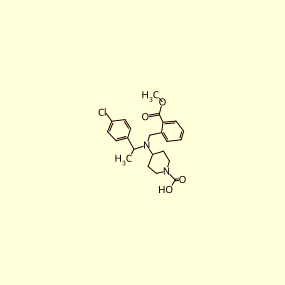 COC(=O)c1ccccc1CN(C1CCN(C(=O)O)CC1)C(C)c1ccc(Cl)cc1